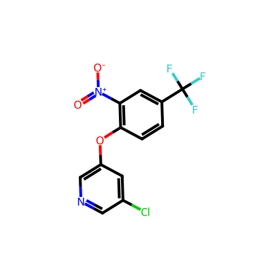 O=[N+]([O-])c1cc(C(F)(F)F)ccc1Oc1cncc(Cl)c1